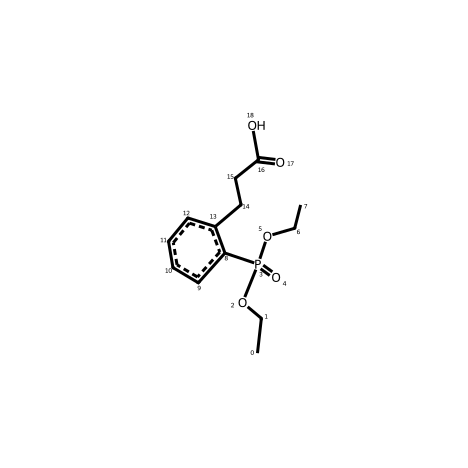 CCOP(=O)(OCC)c1ccccc1CCC(=O)O